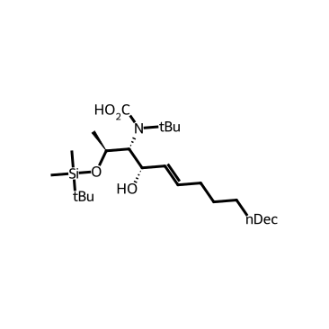 CCCCCCCCCCCCC/C=C/[C@H](O)[C@H]([C@H](C)O[Si](C)(C)C(C)(C)C)N(C(=O)O)C(C)(C)C